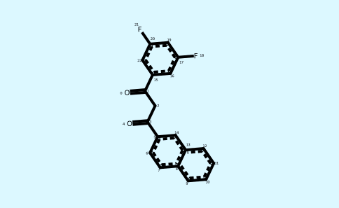 O=C(CC(=O)c1ccc2ccccc2c1)c1cc(F)cc(F)c1